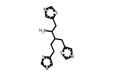 NC(Cc1cncs1)C(CCc1cncs1)Cc1cncs1